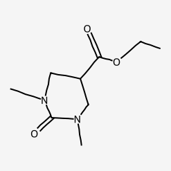 CCOC(=O)C1CN(C)C(=O)N(C)C1